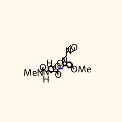 CNC(=O)Nc1ccc2c(c1)C(=O)/C(=C/c1c(C)n(CCCN3CCOCC3)c3ccc(OC)cc13)O2